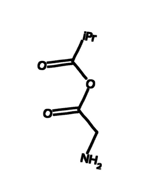 CC(C)C(=O)OC(=O)CN